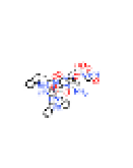 C[C@@H]([C@H](NC(=O)[C@H](Cc1ccc2ccccc2c1)NC(=O)N[C@@H](Cc1c[nH]c2ccccc12)C(=O)NCc1ccccc1)C(=O)NC[C@H]1C[C@@H](O)[C@H](n2ccc(=O)[nH]c2=O)O1)N(C)C(=O)CN